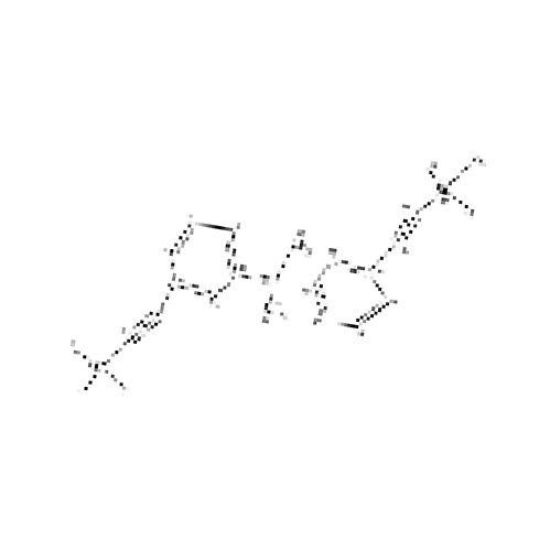 C[Si](C)(C)C#Cc1cccc(C(c2cccc(C#C[Si](C)(C)C)c2)(C(F)(F)F)C(F)(F)F)c1